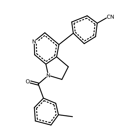 Cc1cccc(C(=O)N2CCc3c(-c4ccc(C#N)cc4)cncc32)c1